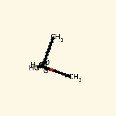 CCCCCCCCCCCCCCCC(=O)CC[N+](C)(CCO)CCC(=O)CCCCCCCCCCCCCCC